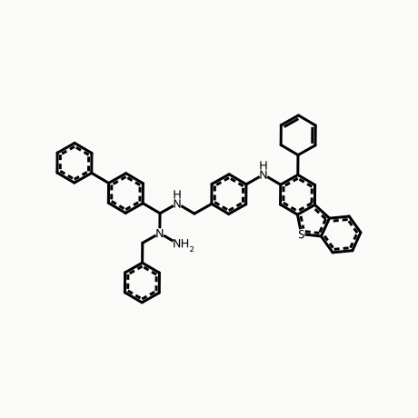 NN(Cc1ccccc1)C(NCc1ccc(Nc2cc3sc4ccccc4c3cc2C2C=CC=CC2)cc1)c1ccc(-c2ccccc2)cc1